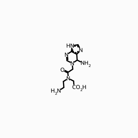 NCCN(CC(=O)O)C(=O)CN1C=Nc2[nH]cnc2C1N